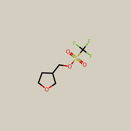 O=S(=O)(OCC1CCOC1)C(F)(F)F